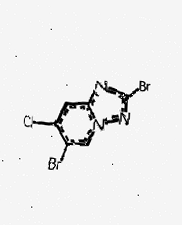 Clc1cc2nc(Br)nn2cc1Br